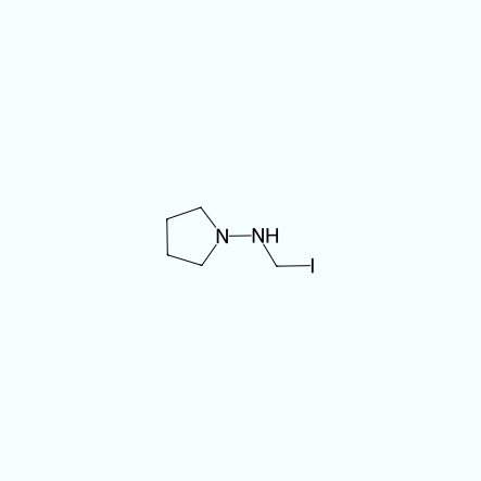 ICNN1CCCC1